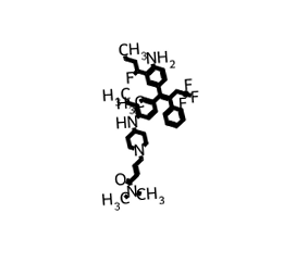 C/C=C(\C=C/C(=C/CC)NC1CCN(C/C=C/C(=O)N(C)C)CC1)C(=C(/CC(F)(F)F)c1ccccc1)/c1ccc(N)c(C(F)CCC)c1